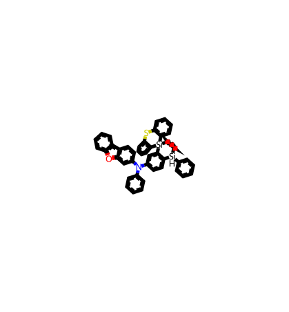 c1ccc(N(c2ccc3c(c2)[Si]2(c4ccccc4Sc4ccccc42)c2ccccc2[SiH]3c2ccccc2)c2ccc3c(c2)oc2ccccc23)cc1